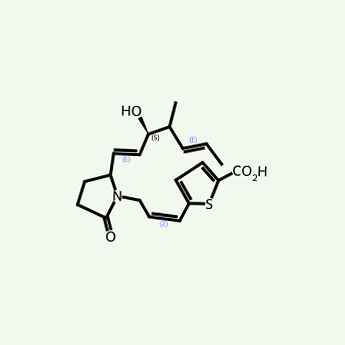 C/C=C/C(C)[C@H](O)/C=C/C1CCC(=O)N1C/C=C\c1ccc(C(=O)O)s1